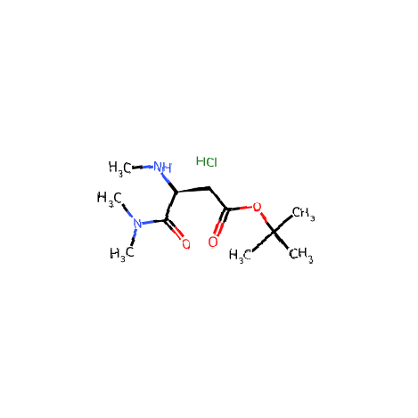 CN[C@@H](CC(=O)OC(C)(C)C)C(=O)N(C)C.Cl